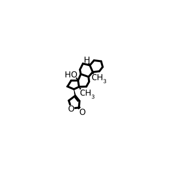 C[C@]12CCCC[C@H]1CCC1C2CC[C@]2(C)[C@@H](C3=CC(=O)OC3)CC[C@]12O